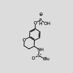 CC(C)(C)[S+]([O-])NC1CCOc2cc(O[PH](=O)O)ccc21